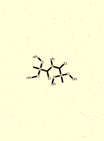 CCCO[Si](C)(OCCC)C(CC)N(CCC)C(CC)[Si](C)(OCCC)OCCC